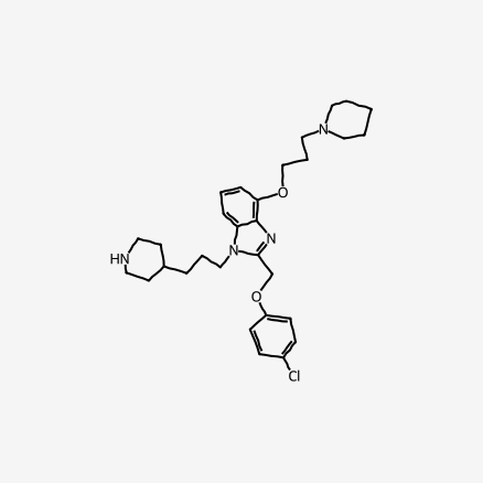 Clc1ccc(OCc2nc3c(OCCCN4CCCCC4)cccc3n2CCCC2CCNCC2)cc1